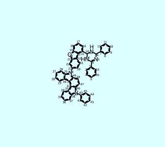 c1ccc(C2=NC(c3ccccc3)NC(c3cccc4oc5cc(-n6c7ccccc7c7c8c9ccccc9n(-c9ccccc9)c8ccc76)ccc5c34)N2)cc1